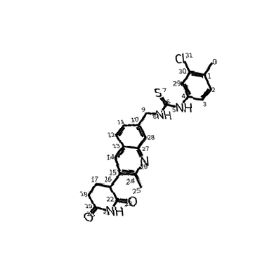 Cc1ccc(NC(=S)NCc2ccc3cc(C4CCC(=O)NC4=O)c(C)nc3c2)cc1Cl